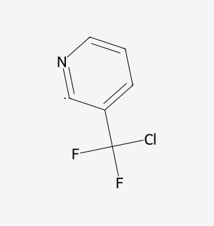 FC(F)(Cl)c1[c]nccc1